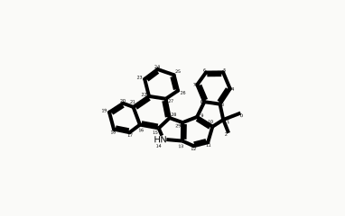 CC1(C)c2ccccc2-c2c1ccc1[nH]c3c4ccccc4c4ccccc4c3c21